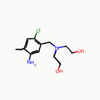 Cc1cc(Cl)c(CN(CCO)CCO)cc1N